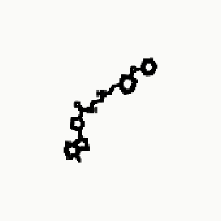 Cc1ncnc2c1ccn2C1CCC(C(=O)NCCNCCc2cccc(Oc3ccccc3)c2)C1